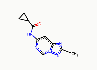 Cc1nc2cc(NC(=O)C3CC3)ncn2n1